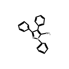 Nc1c(-c2ccccc2)c(-c2ccccc2)nn1-c1ccccc1